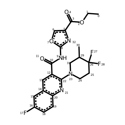 CCOC(=O)c1coc(NC(=O)c2cc3cc(F)ccc3nc2N2CCC(F)(F)C(C)C2)n1